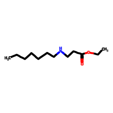 CCCCCCCNCCC(=O)OCC